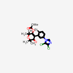 CCc1ccc(-n2cnc(Cl)c2Cl)cc1C1=C(OC(=O)OC)C(C)(C)OC(C)(C)C1=O